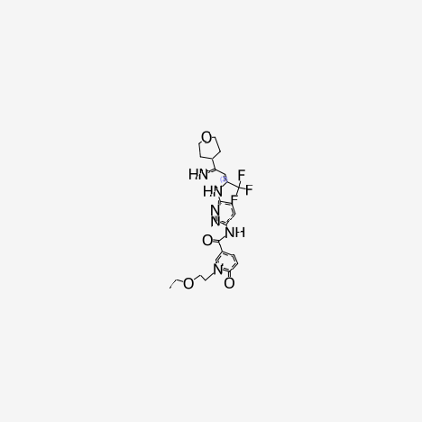 CCOCCn1cc(C(=O)Nc2ccc(N/C(=C\C(=N)C3CCOCC3)C(F)(F)F)nn2)ccc1=O